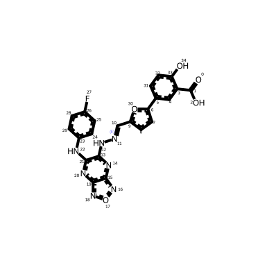 O=C(O)c1cc(-c2ccc(/C=N/Nc3nc4nonc4nc3Nc3ccc(F)cc3)o2)ccc1O